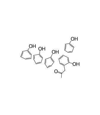 CC(=O)Cc1ccccc1O.Oc1ccccc1.Oc1ccccc1.Oc1ccccc1.Oc1ccccc1